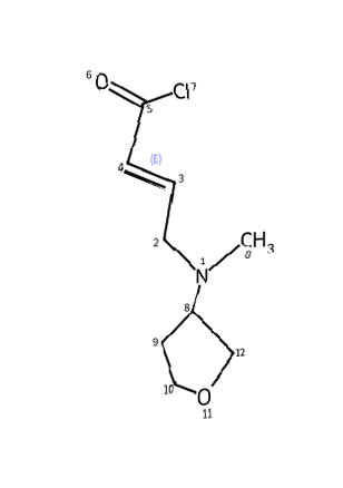 CN(C/C=C/C(=O)Cl)C1CCOC1